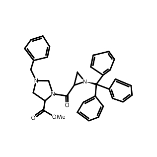 COC(=O)C1CN(Cc2ccccc2)CN1C(=O)C1C[N@@]1C(c1ccccc1)(c1ccccc1)c1ccccc1